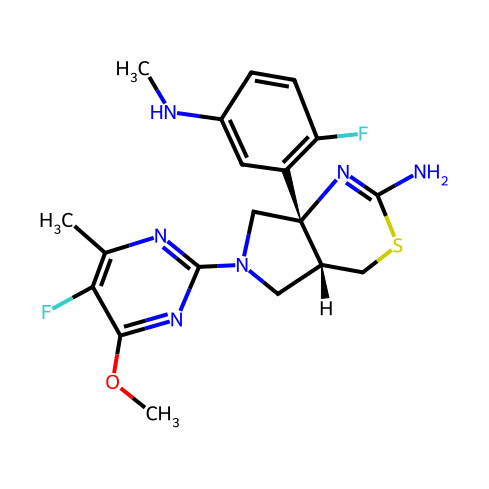 CNc1ccc(F)c([C@]23CN(c4nc(C)c(F)c(OC)n4)C[C@H]2CSC(N)=N3)c1